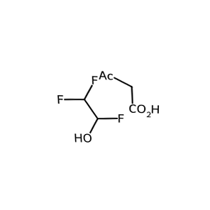 CC(=O)CC(=O)O.OC(F)C(F)F